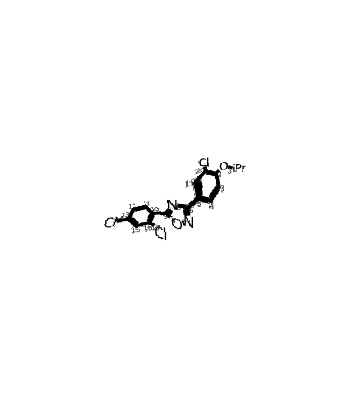 CC(C)Oc1ccc(-c2noc(-c3ccc(Cl)cc3Cl)n2)cc1Cl